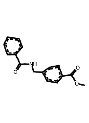 COC(=O)c1ccc(CNC(=O)c2ccccc2)cc1